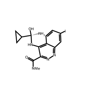 CNC(=O)c1nnc2cc(I)ccc2c1N[C@](N)(O)C1CC1